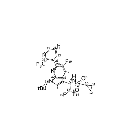 CC(C)(C)Cn1cc(C(NS(=O)(=O)C2CC2)C(F)F)c2cc(F)c(-c3cc(F)cnc3C(F)(F)F)nc21